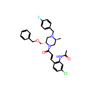 CC(=O)Nc1cc(Cl)ccc1C=CC(=O)N1C[C@H](C)N(Cc2ccc(F)cc2)C[C@H]1COCc1ccccc1